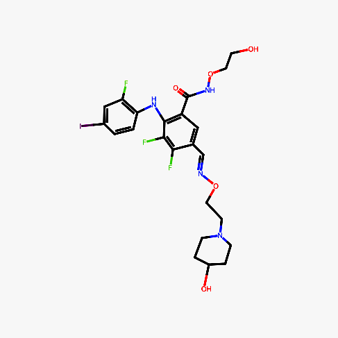 O=C(NOCCO)c1cc(C=NOCCN2CCC(O)CC2)c(F)c(F)c1Nc1ccc(I)cc1F